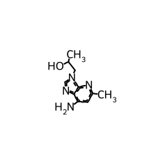 Cc1cc(N)c2ncn(CC(C)O)c2n1